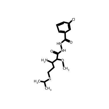 COC(C(=O)NNC(=O)c1cccc(Cl)c1)C(N)CCSC(C)C